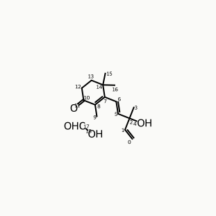 C=CC(C)(O)C=CC1=C(C)C(=O)CCC1(C)C.O=CO